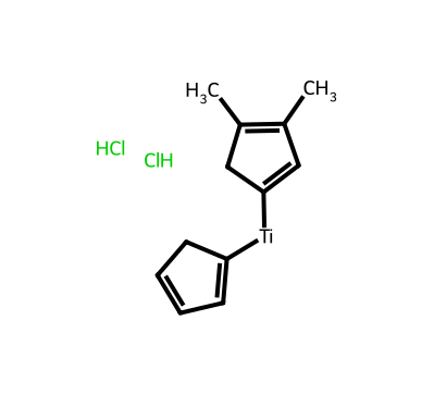 CC1=C(C)C[C]([Ti][C]2=CC=CC2)=C1.Cl.Cl